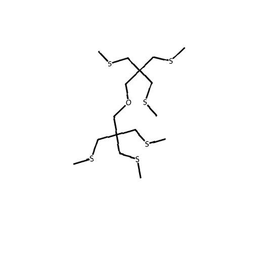 CSCC(COCC(CSC)(CSC)CSC)(CSC)CSC